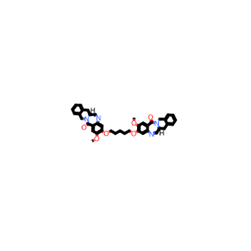 COc1cc2c(cc1OCCCCCOc1cc3c(cc1OC)C(=O)N1Cc4ccccc4C[C@H]1C=N3)N=C[C@@H]1Cc3ccccc3CN1C2=O